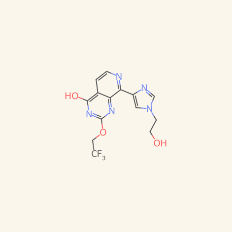 OCCn1cnc(-c2nccc3c(O)nc(OCC(F)(F)F)nc23)c1